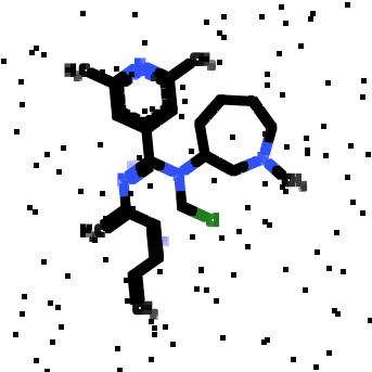 C=C/C=C\C(=C)/N=C(/c1cc(C)nc(C)c1)N(CCl)C1CCCCN(C)C1